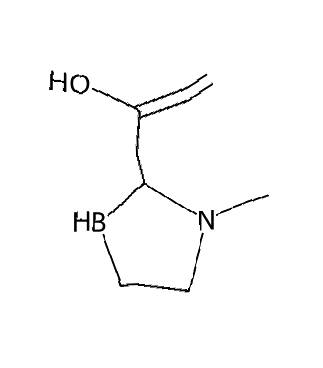 C=C(O)C1BCCN1C